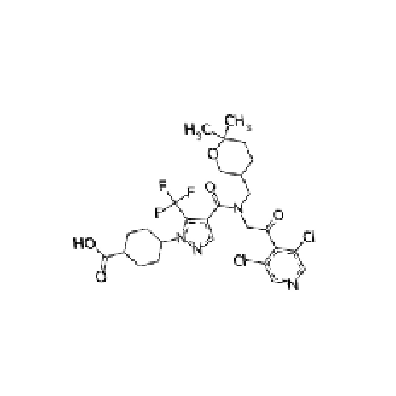 CC1(C)CCC(CN(CC(=O)c2c(Cl)cncc2Cl)C(=O)c2cnn(C3CCC(C(=O)O)CC3)c2C(F)(F)F)CO1